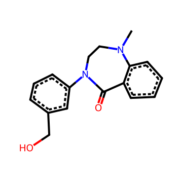 CN1CCN(c2cccc(CO)c2)C(=O)c2ccccc21